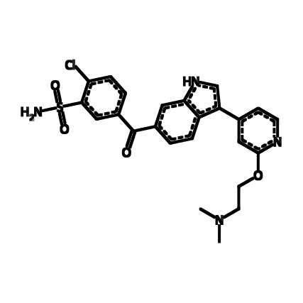 CN(C)CCOc1cc(-c2c[nH]c3cc(C(=O)c4ccc(Cl)c(S(N)(=O)=O)c4)ccc23)ccn1